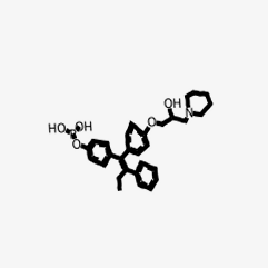 CC/C(=C(/c1ccc(OCC(O)CN2CCCCC2)cc1)c1ccc(OP(O)O)cc1)c1ccccc1